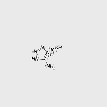 Nc1nnn[nH]1.[KH].[KH]